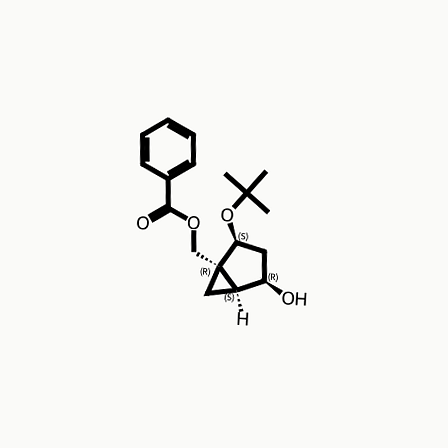 CC(C)(C)O[C@H]1C[C@@H](O)[C@H]2C[C@@]12COC(=O)c1ccccc1